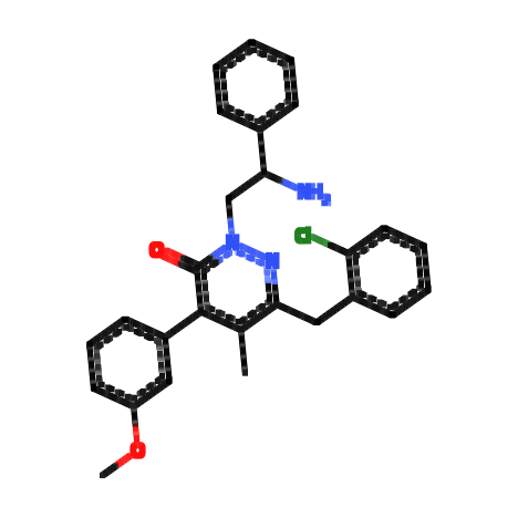 COc1cccc(-c2c(C)c(Cc3ccccc3Cl)nn(CC(N)c3ccccc3)c2=O)c1